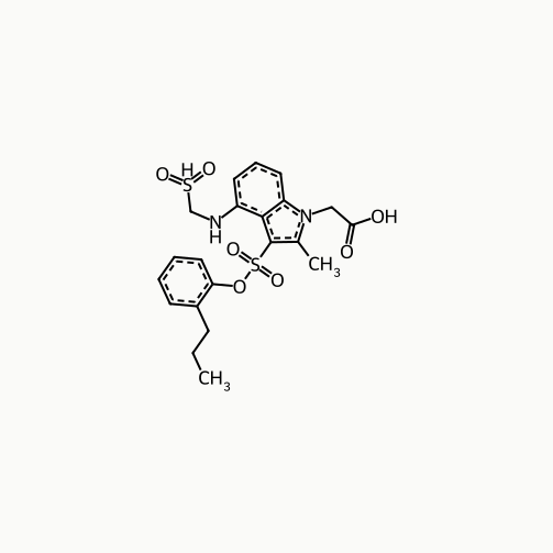 CCCc1ccccc1OS(=O)(=O)c1c(C)n(CC(=O)O)c2cccc(NC[SH](=O)=O)c12